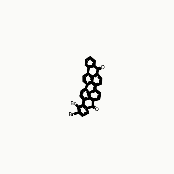 O=C1c2ccccc2-c2ccc3c4ccc5c6c(ccc(c7ccc1c2c73)c64)C(=O)c1ccc(Br)c(Br)c1-5